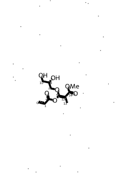 C=CC(=O)OC(OCC(O)CO)=C(C)C(=O)OC